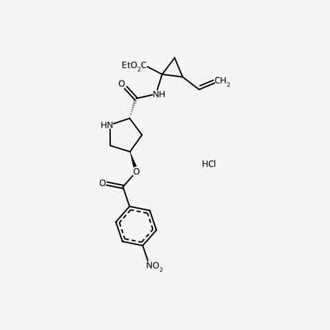 C=CC1CC1(NC(=O)[C@@H]1C[C@@H](OC(=O)c2ccc([N+](=O)[O-])cc2)CN1)C(=O)OCC.Cl